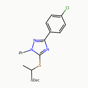 CCCCCCCCCCC(C)Sc1nc(-c2ccc(Cl)cc2)nn1C(C)C